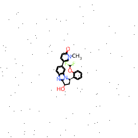 Cn1cc(-c2ccc3nc4n(c3c2)[C@@H](c2ccccc2OC(F)F)C[C@H]4O)ccc1=O